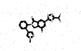 Cn1cc(-c2ccccc2N2Cc3c(F)cc(-c4nnc(C(F)F)o4)cc3C2=O)cn1